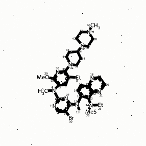 CCc1cc(N(C)c2ncc(Br)c(N(I)c3ccc4nccnc4c3N(CC)SC)n2)c(OC)nc1N1CCC(N2CCN(C)CC2)CC1